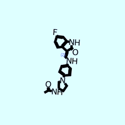 CC(=O)NC1CCN(c2ccc(N/C=C3\C(=O)Nc4cc(F)ccc43)cc2)C1